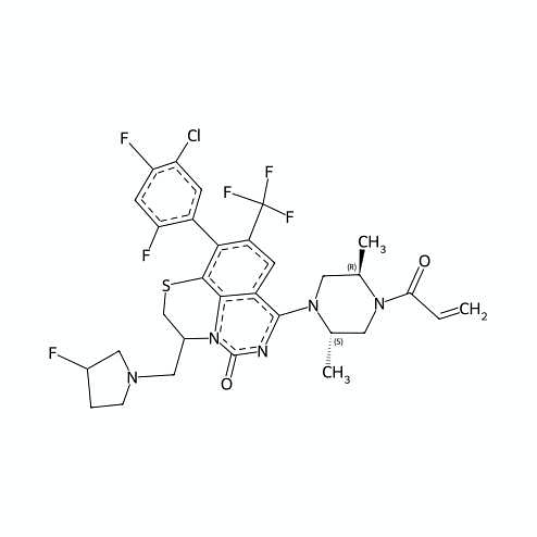 C=CC(=O)N1C[C@H](C)N(c2nc(=O)n3c4c(c(-c5cc(Cl)c(F)cc5F)c(C(F)(F)F)cc24)SCC3CN2CCC(F)C2)C[C@H]1C